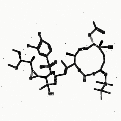 CC[C@H](OC)[C@@H](C)[C@H]1O[C@@H]1C(NS(=O)(=O)c1ccc(F)c(F)c1)C(C)(O)/C=C/C=C(\C)C1OC(=O)C[C@H](O[Si](C)(C)C(C)(C)C)CC[C@@](C)(O)[C@@H](OC(C)=O)/C=C/[C@@H]1C